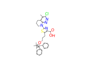 Cc1c(Cl)nnc2c1CCCN2c1nc(C(=O)O)c(CCCO[Si](c2ccccc2)(c2ccccc2)C(C)(C)C)s1